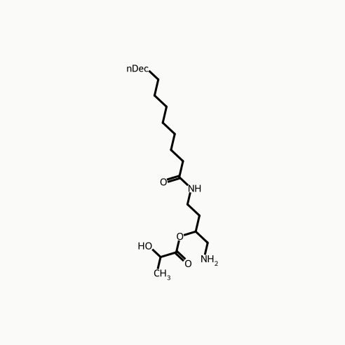 CCCCCCCCCCCCCCCCCC(=O)NCCC(CN)OC(=O)C(C)O